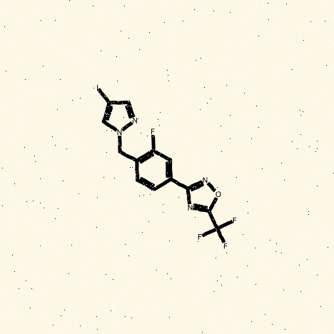 Fc1cc(-c2noc(C(F)(F)F)n2)ccc1Cn1cc(I)cn1